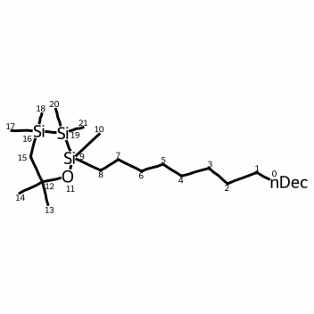 CCCCCCCCCCCCCCCCCC[Si]1(C)OC(C)(C)C[Si](C)(C)[Si]1(C)C